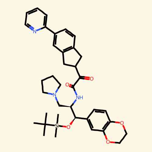 CC(C)(C)[Si](C)(C)O[C@H](c1ccc2c(c1)OCCO2)[C@@H](CN1CCCC1)NC(=O)C(=O)C1Cc2ccc(-c3ccccn3)cc2C1